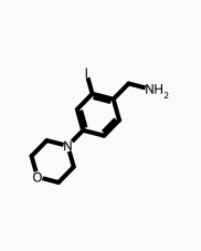 NCc1ccc(N2CCOCC2)cc1I